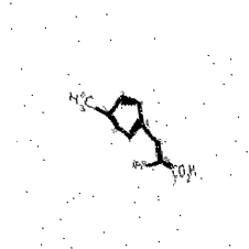 Cc1ccc(CC(C(=O)O)C(C)C)cc1